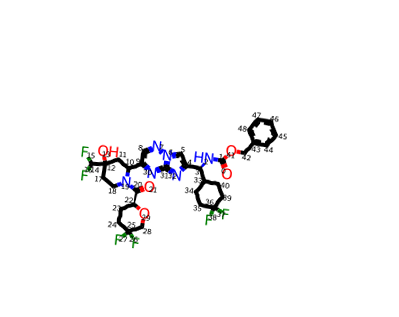 O=C(N[C@H](c1cn2ncc(C3CC(O)(C(F)F)CCN3C(=O)[C@@H]3CCC(F)(F)CO3)nc2n1)C1CCC(F)(F)CC1)OCc1ccccc1